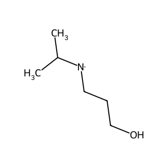 CC(C)[N]CCCO